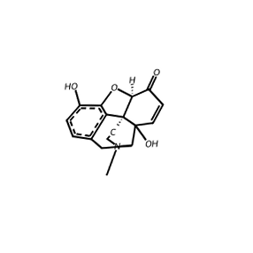 CN1CC[C@]23c4c5ccc(O)c4O[C@H]2C(=O)C=CC3(O)C1C5